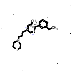 C=C(/N=C\C(=C/CC)CCCN1CCOCC1)c1cccc(CC)c1